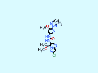 C=NN(/N=C\C)c1ncc(NC(=O)Nc2cnc3cc(Cl)nn3c2[C@H](C)OC)cc1OC